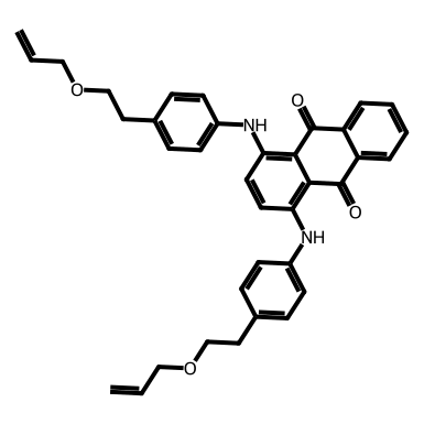 C=CCOCCc1ccc(Nc2ccc(Nc3ccc(CCOCC=C)cc3)c3c2C(=O)c2ccccc2C3=O)cc1